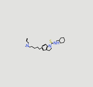 C=CCN(C)CCCCCc1ccc2c(c1)CCN2C(=S)NCC1CCCCC1